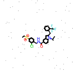 CCS(=O)(=O)c1ccc(CNC(=O)c2ccc3c(c2)cc(Cc2ccccc2C(F)(F)F)n3C(C)C)c(Cl)c1